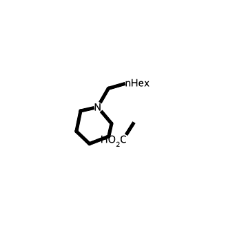 CC(=O)O.CCCCCCCN1CCCCC1